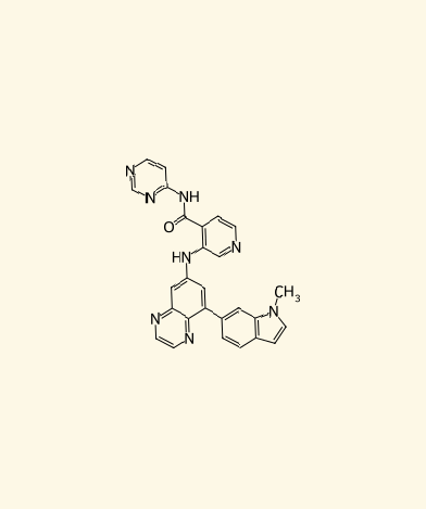 Cn1ccc2ccc(-c3cc(Nc4cnccc4C(=O)Nc4ccncn4)cc4nccnc34)cc21